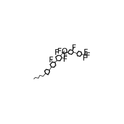 CCCCCc1ccc(-c2ccc(-c3cc(F)c(C(F)(F)Oc4ccc(-c5ccc(C(F)(F)F)cc5)c(F)c4)c(F)c3)c(F)c2)cc1